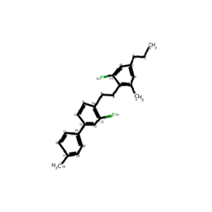 CCCc1cc(C)c(CCc2ccc(-c3ccc(C)cc3)cc2F)c(F)c1